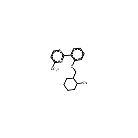 N#CC1CCCCC1COc1ccccc1-c1nccc(C(=O)O)n1